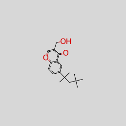 CC(C)(C)CC(C)(C)c1ccc2occ(CO)c(=O)c2c1